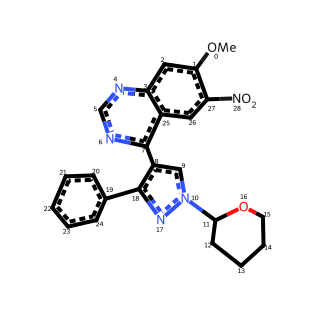 COc1cc2ncnc(-c3cn(C4CCCCO4)nc3-c3ccccc3)c2cc1[N+](=O)[O-]